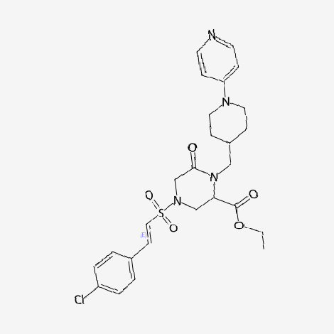 CCOC(=O)C1CN(S(=O)(=O)/C=C/c2ccc(Cl)cc2)CC(=O)N1CC1CCN(c2ccncc2)CC1